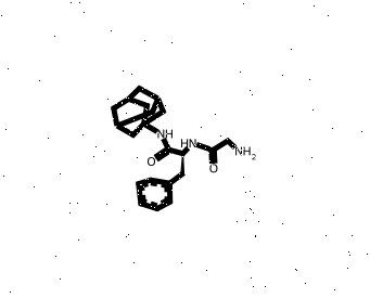 NCC(=O)N[C@@H](Cc1ccccc1)C(=O)NC12CC3CC(CC(C3)C1)C2